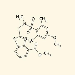 COC(=O)c1cccc2sc(CN(C)S(=O)(=O)c3c(C)cc(OC)cc3C)nc12